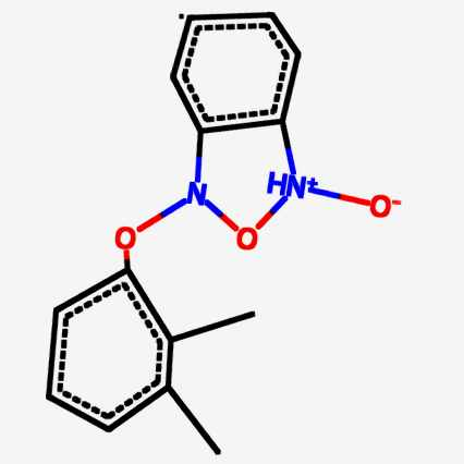 Cc1cccc(ON2O[NH+]([O-])c3cc[c]cc32)c1C